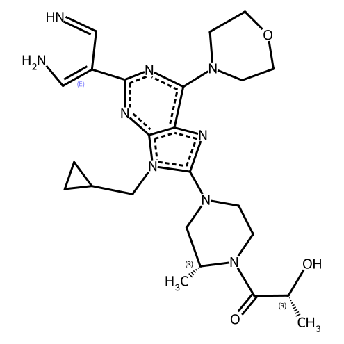 C[C@@H]1CN(c2nc3c(N4CCOCC4)nc(/C(C=N)=C/N)nc3n2CC2CC2)CCN1C(=O)[C@@H](C)O